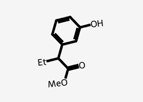 CCC(C(=O)OC)c1cccc(O)c1